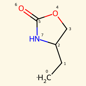 [CH2]CC1COC(=O)N1